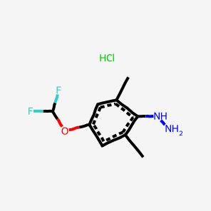 Cc1cc(OC(F)F)cc(C)c1NN.Cl